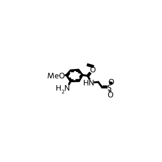 C=C.COc1ccc(C(=O)NCC=S(=O)=O)cc1N